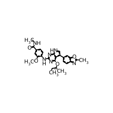 CC[C@@H](C)Oc1nc(Nc2ccc(C(=O)NC)cc2OC)nc2[nH]cc(-c3ccc4nc(C)oc4c3)c12